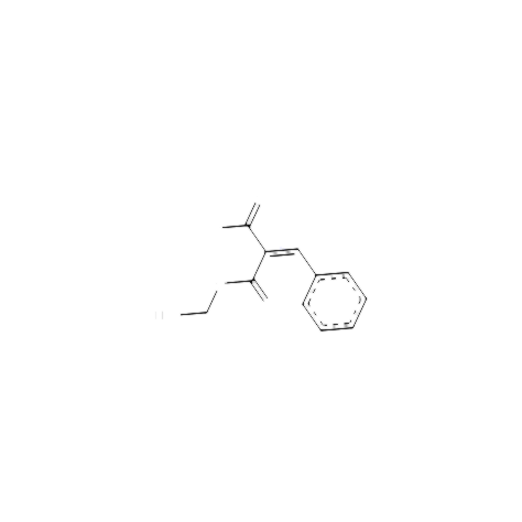 CCOC(=O)/C(=C\c1ccccc1)C(=O)O